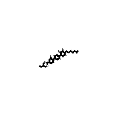 C=CC1COC(c2ccc(-c3ccc(-c4ccc(CCCCCCC)c(F)c4F)cc3)c(F)c2)OC1